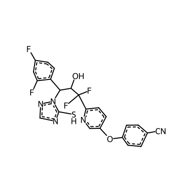 N#Cc1ccc(Oc2ccc(C(F)(F)C(O)C(c3ccc(F)cc3F)n3ncnc3S)nc2)cc1